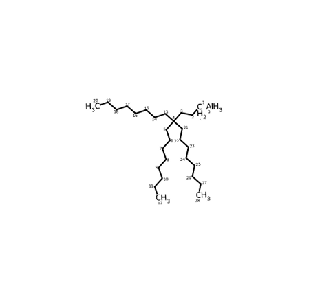 [AlH3].[CH2]CCC(CCCCCCCC)(CCCCCCCC)CCCCCCCC